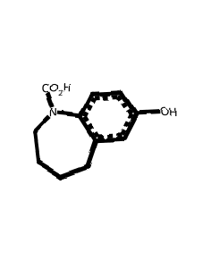 O=C(O)N1CCCCc2cc(O)ccc21